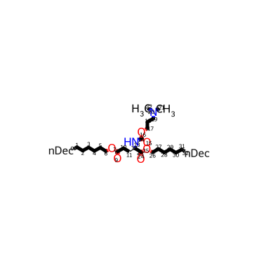 CCCCCCCCCCCCCCCCOC(=O)CC[C@H](NC(=O)OCCCN(C)C)C(=O)OCCCCCCCCCCCCCCCC